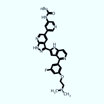 CCCCC(=O)Nc1cncc(-c2cnc3[nH]nc(-c4cc5c(-c6cc(F)cc(OCCN(C)C)c6)nccc5[nH]4)c3c2)c1